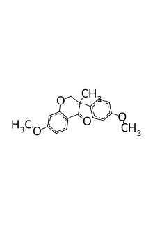 COc1ccc(C2(C)COc3cc(OC)ccc3C2=O)cc1